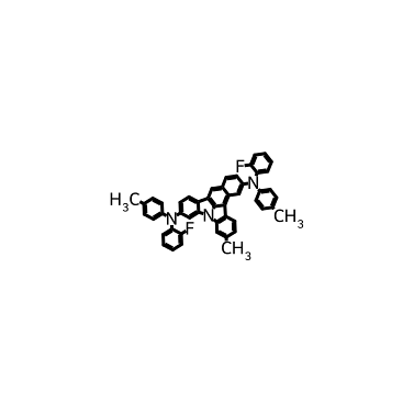 Cc1ccc(N(c2ccc3cc4c5ccc(N(c6ccc(C)cc6)c6ccccc6F)cc5n5c6cc(C)ccc6c(c3c2)c45)c2ccccc2F)cc1